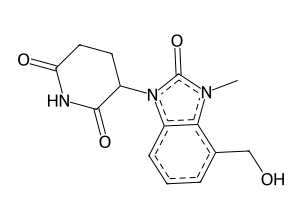 Cn1c(=O)n(C2CCC(=O)NC2=O)c2cccc(CO)c21